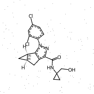 O=C(NC1(CO)CC1)c1nn(-c2ccc(Cl)cc2Cl)c2c1C[C@H]1C[C@@H]21